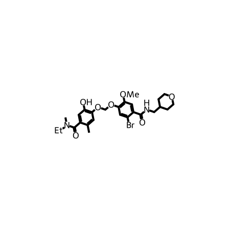 CCN(C)C(=O)c1cc(O)c(OCOc2cc(Br)c(C(=O)NCC3CCOCC3)cc2OC)cc1C